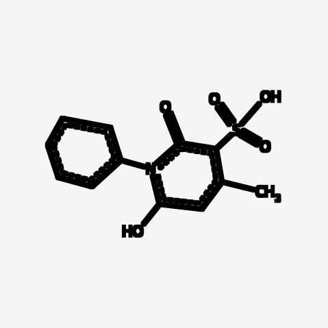 Cc1cc(O)n(-c2ccccc2)c(=O)c1S(=O)(=O)O